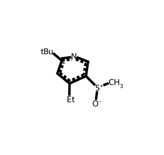 CCc1cc(C(C)(C)C)ncc1[S+](C)[O-]